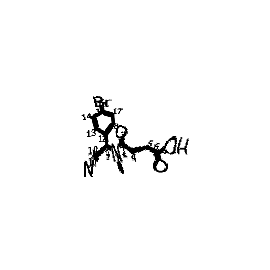 CN(C(=O)CCC(=O)O)C(C#N)c1ccc(Br)cc1